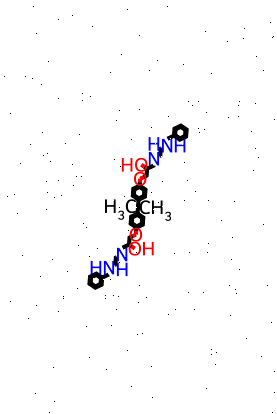 CC(C)(c1ccc(OCC(O)CNCCNCc2ccccc2)cc1)c1ccc(OCC(O)CNCCNCc2ccccc2)cc1